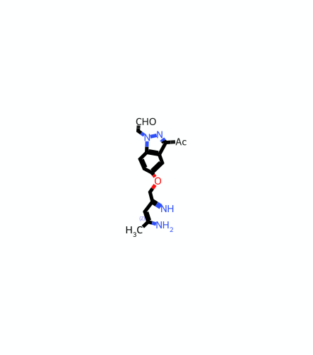 CC(=O)c1nn(CC=O)c2ccc(OCC(=N)/C=C(/C)N)cc12